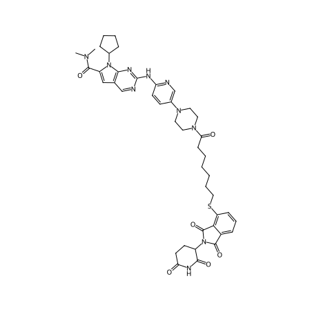 CN(C)C(=O)c1cc2cnc(Nc3ccc(N4CCN(C(=O)CCCCCCSc5cccc6c5C(=O)N(C5CCC(=O)NC5=O)C6=O)CC4)cn3)nc2n1C1CCCC1